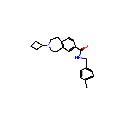 Cc1ccc(CNC(=O)c2ccc3c(c2)CCN(C2CCC2)CC3)cc1